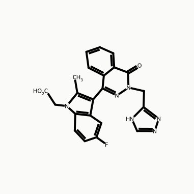 Cc1c(-c2nn(Cc3nnc[nH]3)c(=O)c3ccccc23)c2cc(F)ccc2n1CC(=O)O